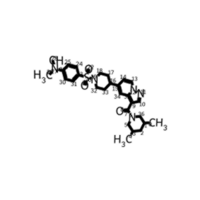 CC1CC(C)CN(C(=O)c2cnn3ccc(C4CCN(S(=O)(=O)c5ccc(N(C)C)cc5)CC4)cc23)C1